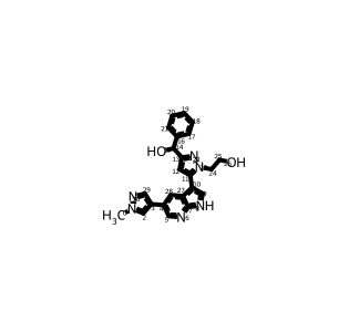 Cn1cc(-c2cnc3[nH]cc(-c4cc(C(O)c5ccccc5)nn4CCO)c3c2)cn1